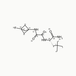 CC(C)(C)C[C@H](NC(=O)C(=O)NC12CC(F)(C1)C2)C(N)=O